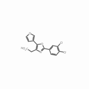 O=C(O)Cc1nc(-c2ccc(Cl)c(Cl)c2)oc1-c1ccoc1